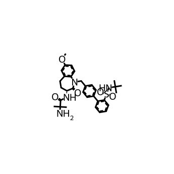 COc1ccc2c(c1)CC[C@@H](NC(=O)C(C)(C)N)C(=O)N2Cc1ccc(-c2ccccc2S(=O)(=O)NC(C)(C)C)cc1